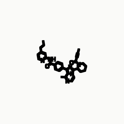 CC#CC(=O)N1CCCCC1c1nc(-c2ccc(C(=O)Nc3cc(CCC)ccn3)cc2)c2c(C)nccn12